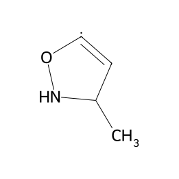 CC1C=[C]ON1